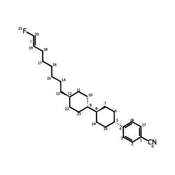 N#Cc1ccc([C@H]2CC[C@H]([C@H]3CC[C@H](CCCCCC/C=C/F)CC3)CC2)cc1